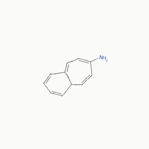 NC1=CC=C2C=CC=CC2C=C1